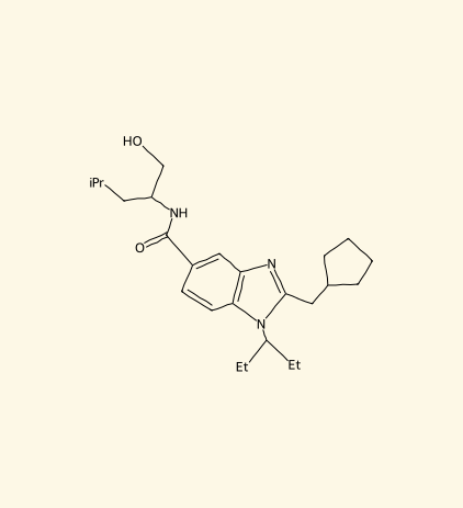 CCC(CC)n1c(CC2CCCC2)nc2cc(C(=O)NC(CO)CC(C)C)ccc21